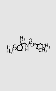 CCC(CC)COC(=O)NCC1(C)C[CH]CC(C)(C)C1